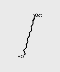 CCCCCCCCC=CCCCCCCCCCCCO